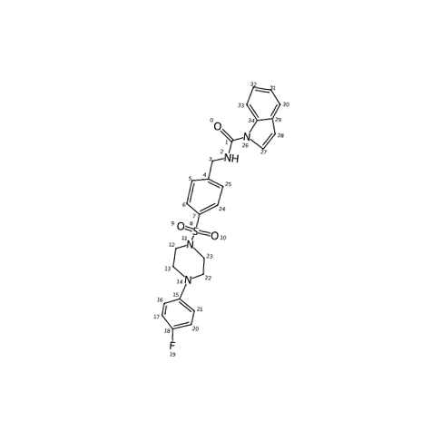 O=C(NCc1ccc(S(=O)(=O)N2CCN(c3ccc(F)cc3)CC2)cc1)n1ccc2ccccc21